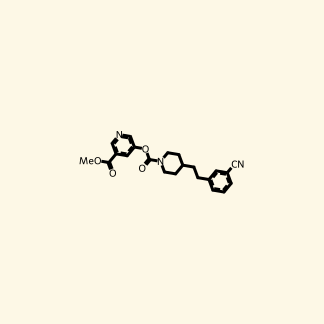 COC(=O)c1cncc(OC(=O)N2CCC(CCc3cccc(C#N)c3)CC2)c1